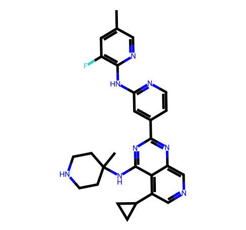 Cc1cnc(Nc2cc(-c3nc(NC4(C)CCNCC4)c4c(C5CC5)cncc4n3)ccn2)c(F)c1